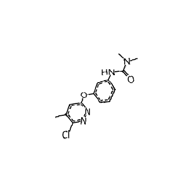 Cc1cc(Oc2cccc(NC(=O)N(C)C)c2)nnc1Cl